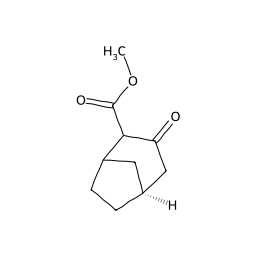 COC(=O)C1C(=O)C[C@H]2CCC1C2